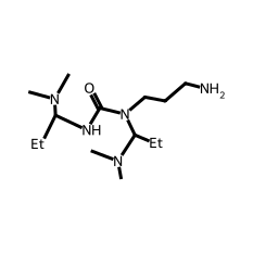 CCC(NC(=O)N(CCCN)C(CC)N(C)C)N(C)C